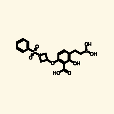 O=C(O)c1c(OC2CN(S(=O)(=O)c3ccccc3)C2)ccc(CCB(O)O)c1O